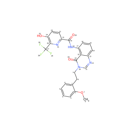 COc1ccccc1CCn1cnc2cccc(NC(=O)c3ccc(O)c(C(F)(F)F)n3)c2c1=O